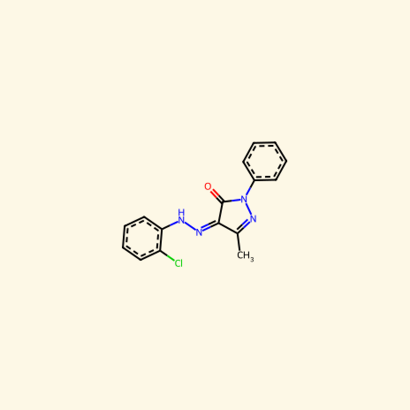 CC1=NN(c2ccccc2)C(=O)C1=NNc1ccccc1Cl